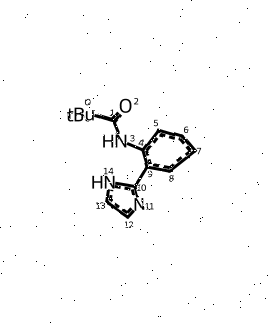 CC(C)(C)C(=O)Nc1ccccc1-c1ncc[nH]1